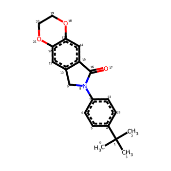 CC(C)(C)c1ccc(N2Cc3cc4c(cc3C2=O)OCCO4)cc1